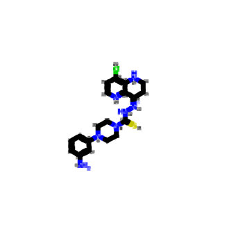 Nc1cccc(N2CCN(C(=S)N/N=C3/CCNc4c(Cl)ccnc43)CC2)c1